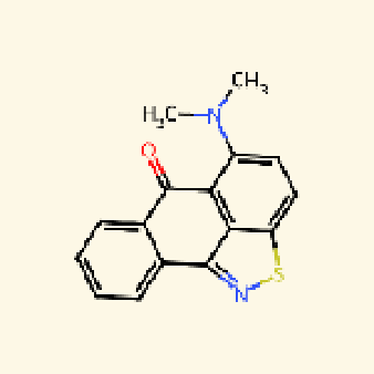 CN(C)c1ccc2snc3c2c1C(=O)c1ccccc1-3